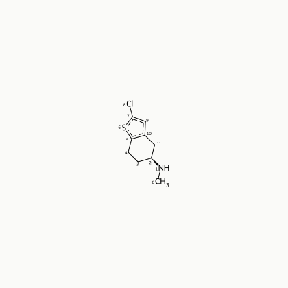 CN[C@H]1CCc2sc(Cl)cc2C1